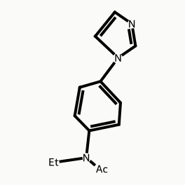 CCN(C(C)=O)c1ccc(-n2ccnc2)cc1